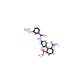 COc1cccc(C(=O)Nc2ccc(-c3c(C(N)=O)cccc3C(N)=O)cn2)c1